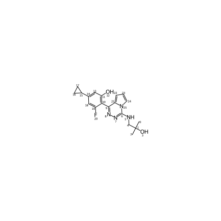 CC(C)(O)CNc1nnc(-c2c(O)cc(C3CC3)cc2F)c2cccn12